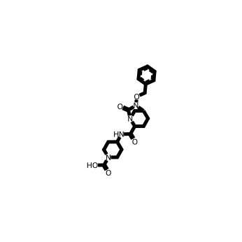 O=C(NC1CCN(C(=O)O)CC1)C1CCC2CN1C(=O)N2OCc1ccccc1